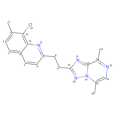 Cc1ccc2ccc(CCc3nc4c(C)ncc(C)n4n3)nc2c1Cl